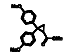 COC(=O)C1CC1(c1ccc(OC)cc1)c1ccc(OC)cc1